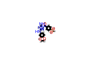 CS(=O)(=O)c1ccc(C(=O)n2nc(Nc3ccc4c(c3)OCCO4)nc2N)cc1